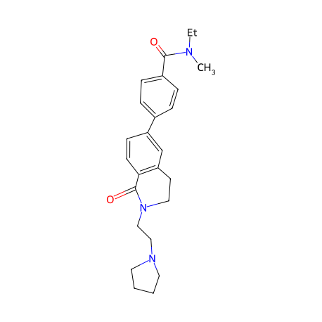 CCN(C)C(=O)c1ccc(-c2ccc3c(c2)CCN(CCN2CCCC2)C3=O)cc1